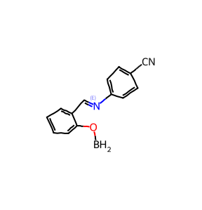 BOc1ccccc1/C=N/c1ccc(C#N)cc1